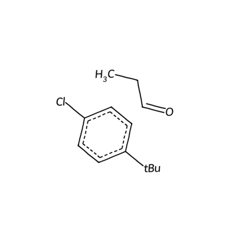 CC(C)(C)c1ccc(Cl)cc1.CCC=O